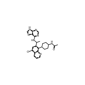 CC(=O)NC1CCN(c2c(C(C)Nc3ncnc4[nH]cnc34)cc(Cl)c3cccnc23)CC1